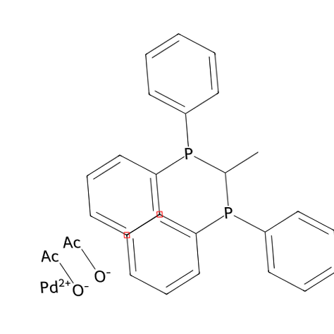 CC(=O)[O-].CC(=O)[O-].CC(P(c1ccccc1)c1ccccc1)P(c1ccccc1)c1ccccc1.[Pd+2]